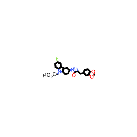 O=C(O)Cn1c2c(c3cc(F)ccc31)CC(NC(=O)CCc1ccc3c(c1)OCO3)CC2